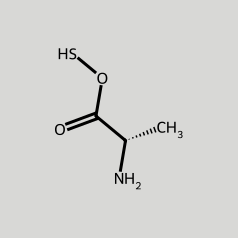 C[C@H](N)C(=O)OS